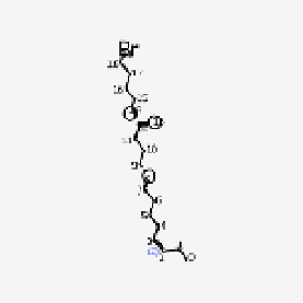 CC/C=C\CCCCOCCCC(=O)OCCCCBr